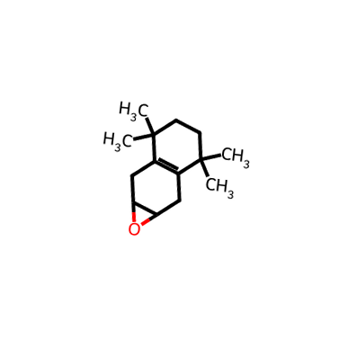 CC1(C)CCC(C)(C)C2=C1CC1OC1C2